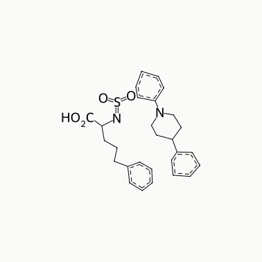 O=C(O)C(CCCc1ccccc1)N=S(=O)=O.c1ccc(C2CCN(c3ccccc3)CC2)cc1